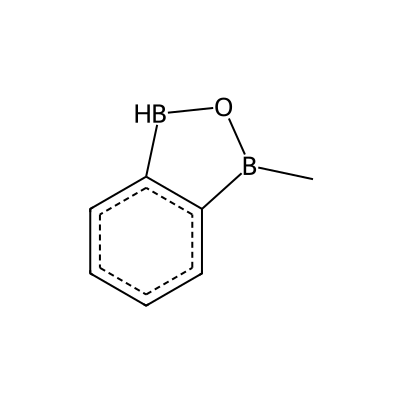 CB1OBc2ccccc21